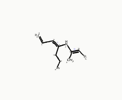 C=C/C=C(\CCC(C)C)N/C(C)=C/CC